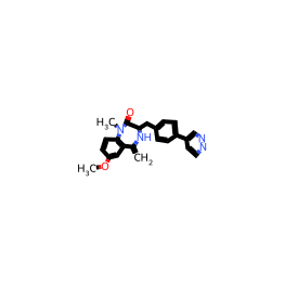 C=C1NC(Cc2ccc(-c3ccnnc3)cc2)C(=O)N(C)c2ccc(OC)cc21